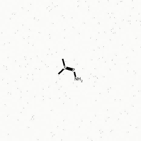 CS(C)=PN